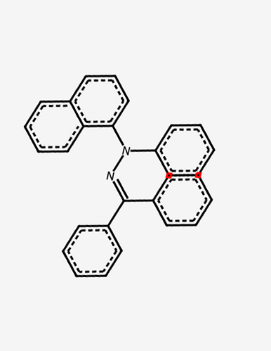 c1ccc(C(=NN(c2ccccc2)c2cccc3ccccc23)c2ccccc2)cc1